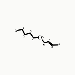 [CH2]CCCCOCC=CC